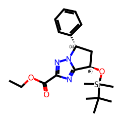 CCOC(=O)c1nc2n(n1)[C@H](c1ccccc1)C[C@H]2O[Si](C)(C)C(C)(C)C